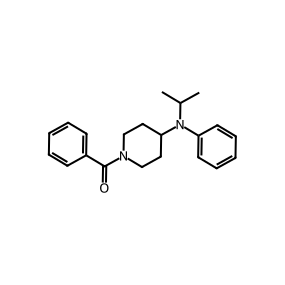 CC(C)N(c1ccccc1)C1CCN(C(=O)c2ccccc2)CC1